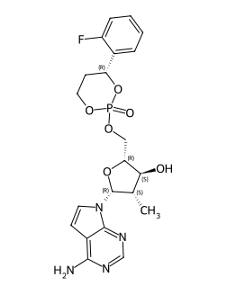 C[C@H]1[C@H](O)[C@@H](COP2(=O)OCC[C@H](c3ccccc3F)O2)O[C@H]1n1ccc2c(N)ncnc21